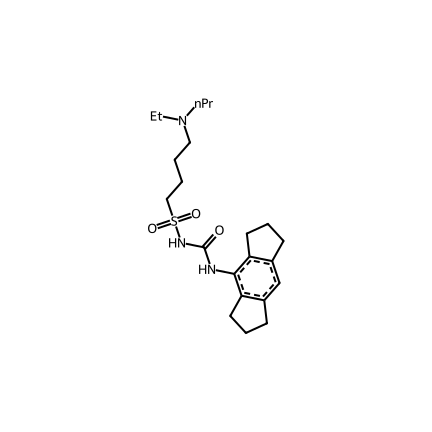 CCCN(CC)CCCCS(=O)(=O)NC(=O)Nc1c2c(cc3c1CCC3)CCC2